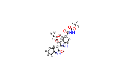 CC(C)(C)OC(=O)NC(=O)c1ccc2[nH]c(-c3cc4ccccc4[nH]c3=O)c(OC(=O)C(C)(C)C)c2c1